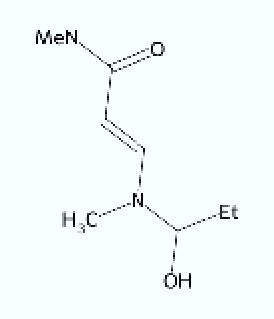 CCC(O)N(C)C=CC(=O)NC